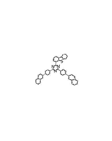 c1ccc2cc(-c3ccc(-c4nc(-c5ccc(-c6ccc7ccccc7c6)cc5)nc(-c5cccc6c5sc5ccccc56)n4)cc3)ccc2c1